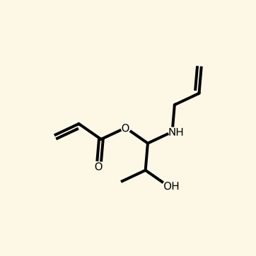 C=CCNC(OC(=O)C=C)C(C)O